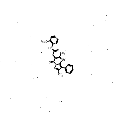 COc1c#cccc1NC(=O)Cc1c(C)[nH]c2c(-c3ccccc3)c(C(F)(F)F)nn2c1=O